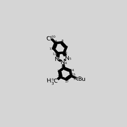 Cc1cc(-n2nc3ccc(Cl)cc3n2)cc(C(C)(C)C)c1